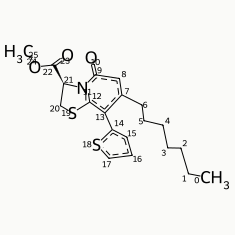 CCCCCCCc1cc(=O)n2c(c1-c1cccs1)SC[C@H]2C(=O)OC